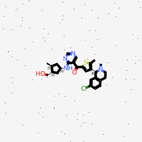 Cc1sc(C(=O)c2cncnc2N[C@@H]2C[C@H](CO)[C@@H](C)C2)cc1[C@H]1c2cc(Cl)ccc2CCN1C